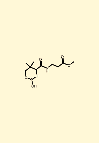 COC(=O)CCNC(=O)C1OP(O)OCC1(C)C